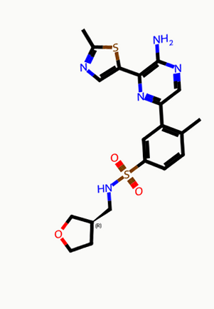 Cc1ncc(-c2nc(-c3cc(S(=O)(=O)NC[C@H]4CCOC4)ccc3C)cnc2N)s1